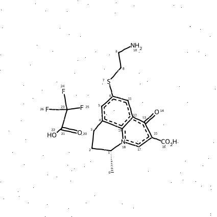 C[C@@H]1CCc2cc(SCCN)cc3c(=O)c(C(=O)O)cn1c23.O=C(O)C(F)(F)F